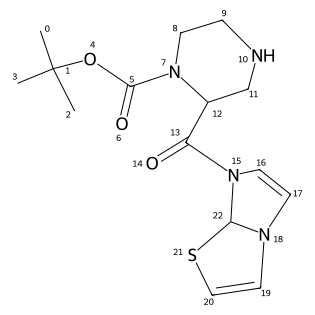 CC(C)(C)OC(=O)N1CCNCC1C(=O)N1C=CN2C=CSC21